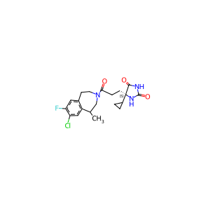 CC1CN(C(=O)CC[C@@]2(C3CC3)NC(=O)NC2=O)CCc2cc(F)c(Cl)cc21